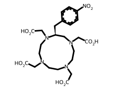 O=C(O)CN1CCN(CC(=O)O)CCN(CC(=O)O)[C@@H](Cc2ccc([N+](=O)[O-])cc2)CN(CC(=O)O)CC1